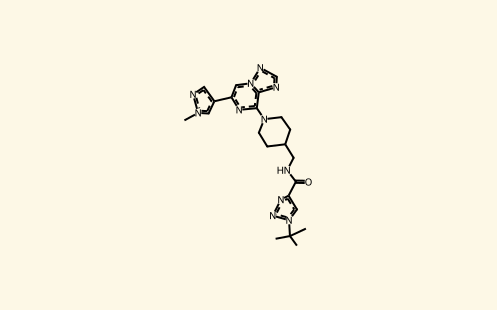 Cn1cc(-c2cn3ncnc3c(N3CCC(CNC(=O)c4cn(C(C)(C)C)nn4)CC3)n2)cn1